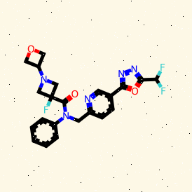 O=C(N(Cc1ccc(-c2nnc(C(F)F)o2)cn1)c1ccccc1)C1(F)CN(C2COC2)C1